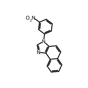 O=[N+]([O-])c1cccc(-n2cnc3c4ccccc4ccc32)c1